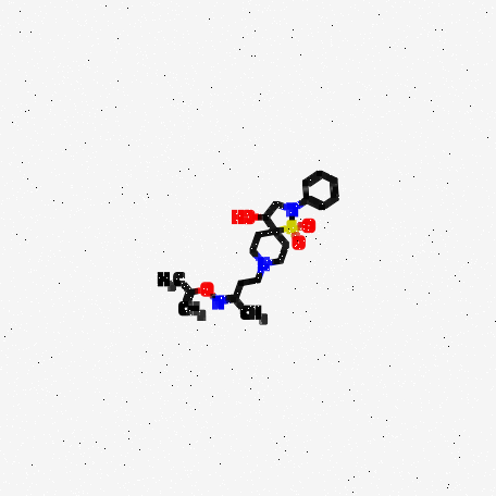 C=C(C)O/N=C(/C)CCN1CCC2(CC1)[C@@H](O)CN(c1ccccc1)S2(=O)=O